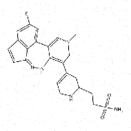 CN1C=C2C(=C(C3=CCNC(CCS(N)(=O)=O)C3)C1)NN=C1C=Cc3cc(F)cc2c31